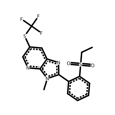 CCS(=O)(=O)c1ccccc1-c1nc2cc(SC(F)(F)F)cnc2n1C